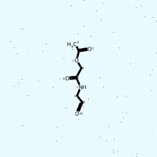 CC(=O)OCC(=O)NC[C]=O